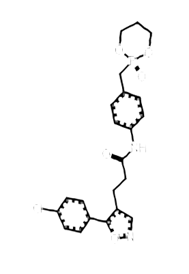 O=C(CCc1cnoc1-c1ccc(Cl)cc1)Nc1ccc(CP2(=O)OCCCO2)cc1